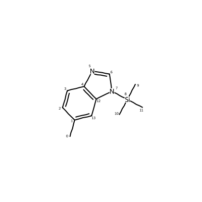 Cc1ccc2ncn([Si](C)(C)C)c2c1